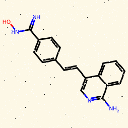 N=C(NO)c1ccc(/C=C/c2cnc(N)c3ccccc23)cc1